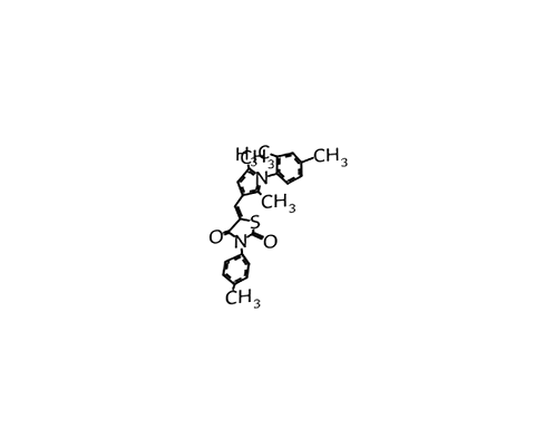 Cc1ccc(N2C(=O)SC(=Cc3cc(C)n(-c4ccc(C)cc4C)c3C)C2=O)cc1